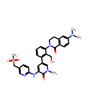 CN(C)c1ccc2c(c1)CCN(c1cccc(-c3cc(Nc4ccc(CS(C)(=O)=O)cn4)c(=O)n(C)c3)c1CO)C2=O